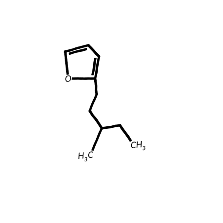 CCC(C)CCc1ccco1